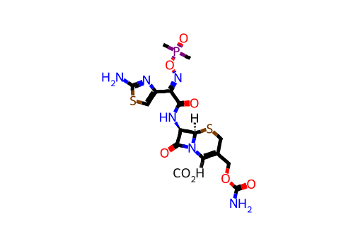 CP(C)(=O)O/N=C(/C(=O)N[C@@H]1C(=O)N2C(C(=O)O)=C(COC(N)=O)CS[C@H]12)c1csc(N)n1